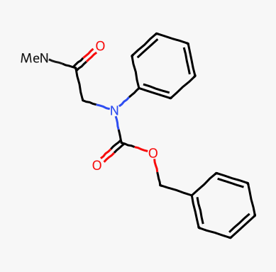 CNC(=O)CN(C(=O)OCc1ccccc1)c1ccccc1